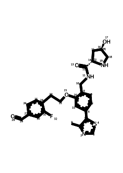 Cc1ncsc1-c1ccc(CNC(=O)[C@@H]2C[C@@H](O)CN2)c(OCCc2ccc(C=O)cc2F)c1